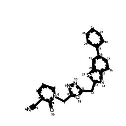 N#Cc1cccn(Cc2nnc(Cc3nc4ccc(-c5ccccc5)cc4s3)o2)c1=O